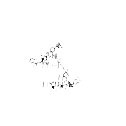 CCN(c1cc(-c2ccc(OCCCCCOCCOc3cc(-c4scnc4C)ccc3CNC(=O)C3C[C@@H](O)CN3C(=O)C(C(C)C)C3Cc4ccccc4C3=O)cc2)cc(C(=O)NCc2c(C)cc(C)[nH]c2=O)c1C)C1CCOCC1